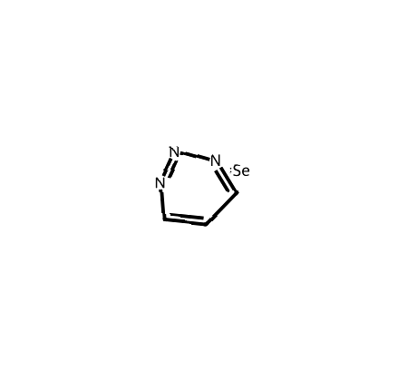 [Se].c1cnnnc1